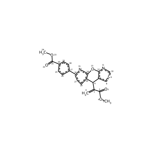 C=C(C(=O)OC)C1c2cccnc2Oc2nc(-c3ccc(C(=O)OC)cc3)ccc21